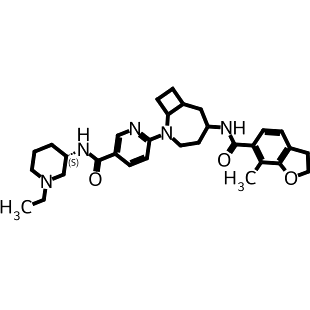 CCN1CCC[C@H](NC(=O)c2ccc(N3CCC(NC(=O)c4ccc5c(c4C)OCC5)CC4CCC43)nc2)C1